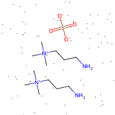 C[N+](C)(C)CCCN.C[N+](C)(C)CCCN.O=S(=O)([O-])[O-]